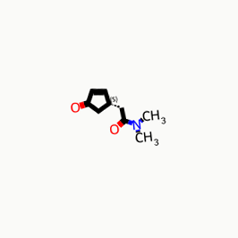 CN(C)C(=O)C[C@H]1C=CC(=O)C1